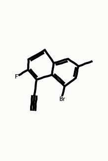 C#Cc1c(F)ccc2cc(C)cc(Br)c12